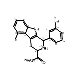 COC(=O)C1Cc2c([nH]c3cccc(C)c23)C(c2cccc(O)c2)N1